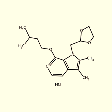 Cc1c(C)n(CC2OCCO2)c2c(OCCC(C)C)nccc12.Cl